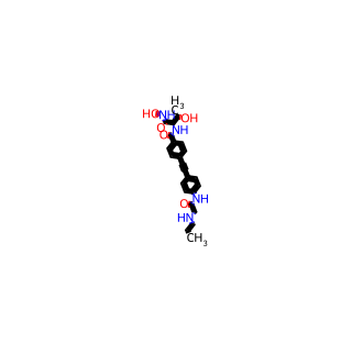 CCCNCC(=O)Nc1ccc(C#Cc2ccc(C(=O)N[C@H](C(=O)NO)[C@@H](C)O)cc2)cc1